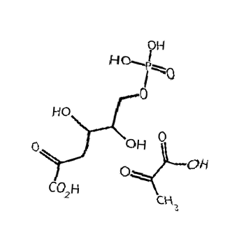 CC(=O)C(=O)O.O=C(O)C(=O)CC(O)C(O)COP(=O)(O)O